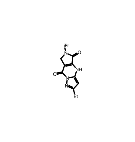 CCc1cc2[nH]c3c(c(=O)n2n1)CN(C(C)C)C3=O